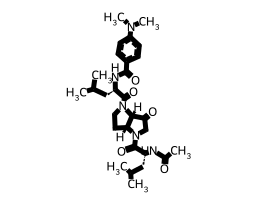 CC(=O)N[C@H](CC(C)C)C(=O)N1CC(=O)[C@@H]2[C@H]1CCN2C(=O)[C@H](CC(C)C)NC(=O)c1ccc(N(C)C)cc1